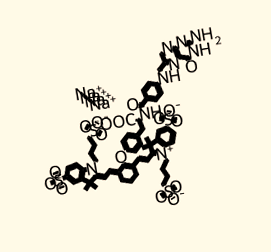 CC1(C)C(/C=C/C2=C(Oc3ccc(C[C@H](NC(=O)c4ccc(NCc5cnc6nc(N)[nH]c(=O)c6n5)cc4)C(=O)[O-])cc3)C(=C/C=C3\N(CCCCS(=O)(=O)[O-])c4ccc(S(=O)(=O)[O-])cc4C3(C)C)/CCC2)=[N+](CCCCS(=O)(=O)[O-])c2ccc(S(=O)(=O)[O-])cc21.[Na+].[Na+].[Na+].[Na+]